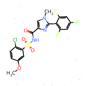 COc1ccc(Cl)c(S(=O)(=O)NC(=O)c2cn(C)c(-c3c(F)cc(F)cc3F)n2)c1